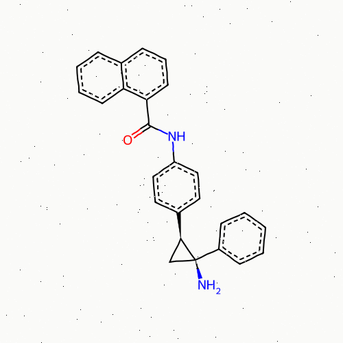 N[C@@]1(c2ccccc2)C[C@H]1c1ccc(NC(=O)c2cccc3ccccc23)cc1